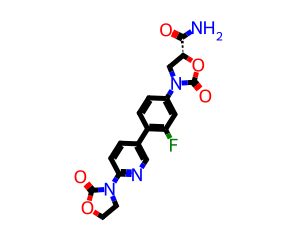 NC(=O)[C@H]1CN(c2ccc(-c3ccc(N4CCOC4=O)nc3)c(F)c2)C(=O)O1